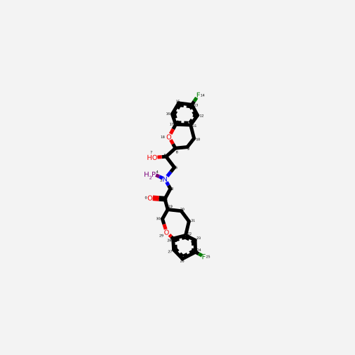 O=C(CN(P)CC(O)C1CCc2cc(F)ccc2O1)C1CCc2cc(F)ccc2OC1